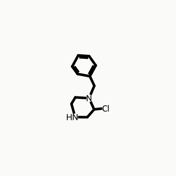 ClC1CNCCN1Cc1ccccc1